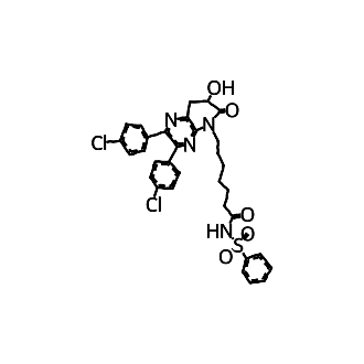 O=C(CCCCCCN1C(=O)C(O)Cc2nc(-c3ccc(Cl)cc3)c(-c3ccc(Cl)cc3)nc21)NS(=O)(=O)c1ccccc1